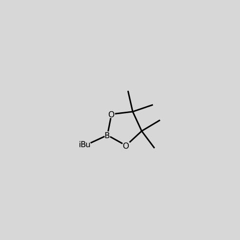 CCC(C)B1OC(C)(C)C(C)(C)O1